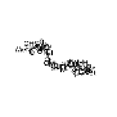 CCN(C)S(=O)(=O)Nc1ccc(F)c(C(=O)c2c[nH]c3ncc(-c4ccc(CN5CCN(C(=O)CCCNc6cccc7c6C(=O)N(C(C=O)CCC(=O)NC)C7=O)CC5)nc4)cc23)c1F